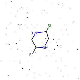 CC(C)C1CNC(Cl)CN1